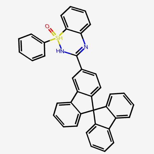 O=[SH]1(c2ccccc2)NC(c2ccc3c(c2)-c2ccccc2C32c3ccccc3-c3ccccc32)=Nc2ccccc21